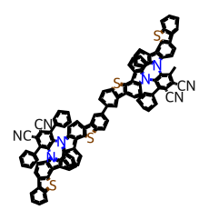 Cc1c(C#N)c(C#N)c(-c2ccccc2)c(-n2c3ccccc3c3c4sc5ccc(-c6ccc7sc8c(ccc9c8c8ccccc8n9-c8c(-c9ccccc9)c(C#N)c(C#N)c(-c9ccccc9)c8-n8c9ccccc9c9c%10sc%11ccccc%11c%10ccc98)c7c6)cc5c4ccc32)c1-n1c2ccccc2c2c3sc4ccccc4c3ccc21